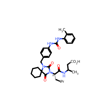 Cc1ccccc1NC(=O)Nc1ccc(CN2C(=O)N([C@@H](CC(C)C)C(=O)NC(C)CC(=O)O)C(=O)C23CCCCC3)cc1